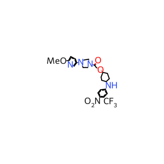 COc1ccc(N2CCN(C(=O)CO[C@H]3CC[C@H](Nc4ccc([N+](=O)[O-])c(C(F)(F)F)c4)CC3)CC2)cn1